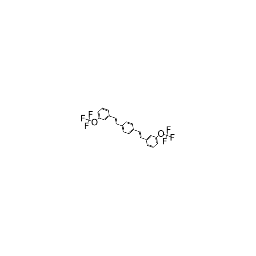 FC(F)(F)Oc1cccc(/C=C/c2ccc(/C=C/c3cccc(OC(F)(F)F)c3)cc2)c1